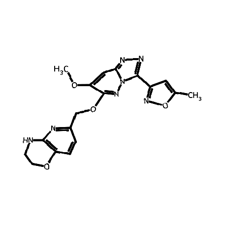 COc1cc2nnc(-c3cc(C)on3)n2nc1OCc1ccc2c(n1)NCCO2